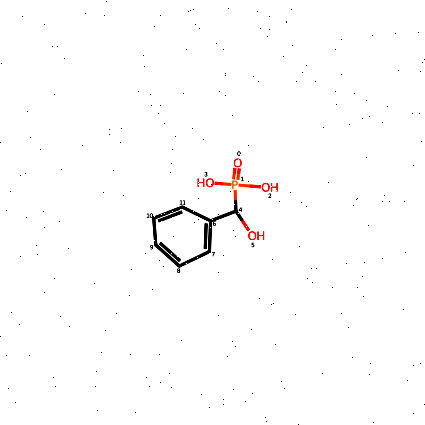 O=P(O)(O)C(O)c1ccccc1